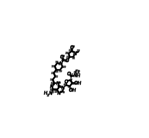 CCNC(=O)[C@H]1O[C@@H](n2cnc3c(N)nc(CCCC4CCN(C(=O)OC5CC(=O)N(C)C5)CC4)nc32)[C@@H](O)C1O